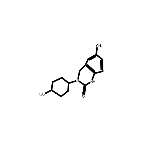 Cc1ccc2c(c1)CN(C1CCC(C(C)(C)C)CC1)C(=O)N2